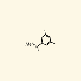 CN[C@@H](C)c1cc(C)cc(C)c1